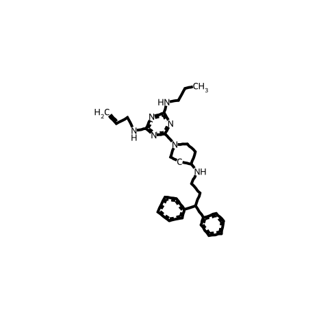 C=CCNc1nc(NCCC)nc(N2CCC(NCCC(c3ccccc3)c3ccccc3)CC2)n1